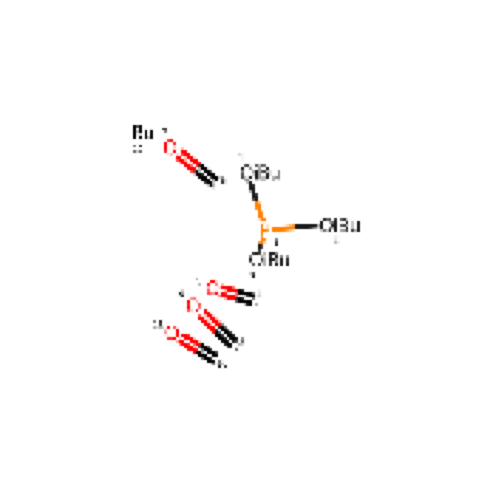 CC(C)COP(OCC(C)C)OCC(C)C.[C]=O.[C]=O.[C]=O.[C]=O.[Ru]